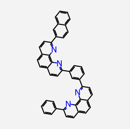 c1ccc(-c2ccc3ccc4ccc(-c5cccc(-c6ccc7ccc8ccc(-c9ccc%10ccccc%10c9)nc8c7n6)c5)nc4c3n2)cc1